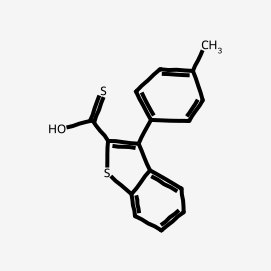 Cc1ccc(-c2c(C(O)=S)sc3ccccc23)cc1